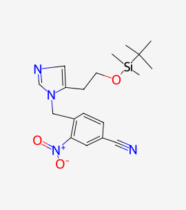 CC(C)(C)[Si](C)(C)OCCc1cncn1Cc1ccc(C#N)cc1[N+](=O)[O-]